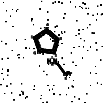 CCCN.c1cscn1